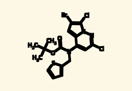 CC(C)(C)OC(=O)N(Cc1cccs1)c1cc(Cl)nn2c(Cl)c(Br)cc12